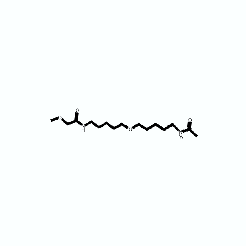 COCC(=O)NCCCCCOCCCCCNC(C)=O